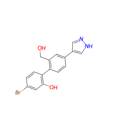 OCc1cc(-c2cn[nH]c2)ccc1-c1ccc(Br)cc1O